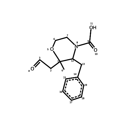 CC1(CC=O)OCCN(C(=O)O)C1Cc1ccccc1